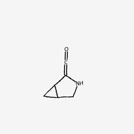 O=C=C1NCC2CC12